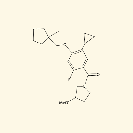 COC1CCN(C(=O)c2cc(C3CC3)c(OCC3(C)CCCC3)cc2F)C1